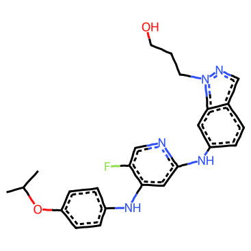 CC(C)Oc1ccc(Nc2cc(Nc3ccc4cnn(CCCO)c4c3)ncc2F)cc1